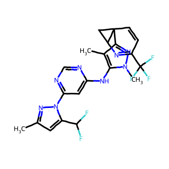 Cc1cc(C(F)F)n(-c2cc(Nc3c(C)c(C45C=CC(C(F)(F)F)=NC4C5)nn3C)ncn2)n1